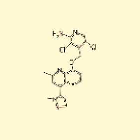 Cc1cc(-c2ccnn2C)c2cccc(OCc3c(Cl)cnc(N)c3Cl)c2n1